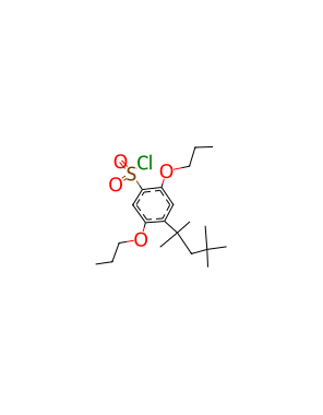 CCCOc1cc(S(=O)(=O)Cl)c(OCCC)cc1C(C)(C)CC(C)(C)C